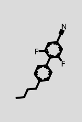 CCCCc1ccc(-c2c(F)cc(C#N)cc2F)cc1